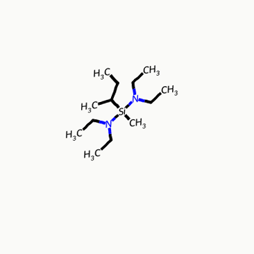 CCC(C)[Si](C)(N(CC)CC)N(CC)CC